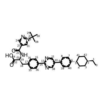 CC[C@H]1CC[C@H](c2ccc(-c3cnc(-c4ccc(C[C@H](NC(=O)c5cnn(C(C)(C)C)c5)C(=O)O)cc4)nc3)cc2)CC1